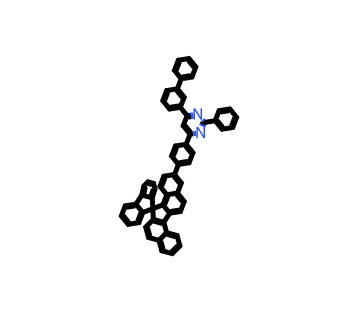 c1ccc(-c2cccc(-c3cc(-c4ccc(-c5ccc6c7c(ccc6c5)-c5c(ccc6ccccc56)C75c6ccccc6-c6ccccc65)cc4)nc(-c4ccccc4)n3)c2)cc1